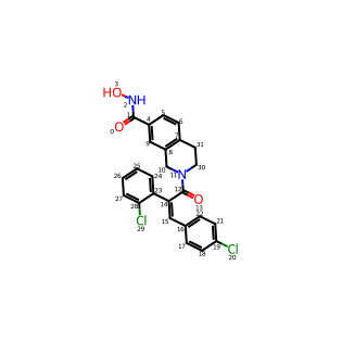 O=C(NO)c1ccc2c(c1)CN(C(=O)/C(=C\c1ccc(Cl)cc1)c1ccccc1Cl)CC2